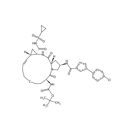 CC(C)(C)OC(=O)N[C@H]1CCCCC/C=C\[C@@H]2C[C@@]2(C(=O)NS(=O)(=O)C2CC2)NC(=O)[C@@H]2C[C@@H](NC(=O)c3csc(-c4ccc(Cl)cc4)c3)CN2C1=O